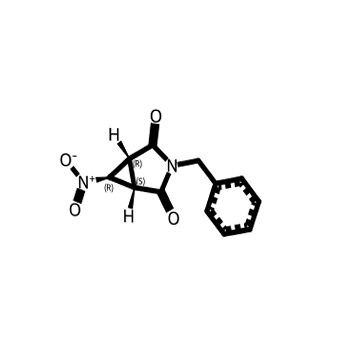 O=C1[C@@H]2[C@H](C(=O)N1Cc1ccccc1)[C@H]2[N+](=O)[O-]